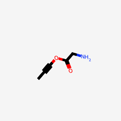 CC#COC(=O)CN